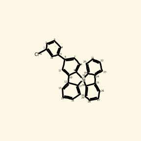 Clc1cccc(-c2ccc3c(c2)-c2ccccc2[Si]32c3ccccc3-c3ccccc32)c1